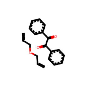 C=CCOCC=C.O=C(C(=O)c1ccccc1)c1ccccc1